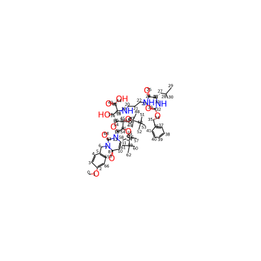 COc1ccc(Cn2c(=O)ccn([C@@H]3O[C@H](C(O)[C@H](NCCCNC(=O)[C@H](CC(C)C)NC(=O)OCc4ccccc4)C(=O)O)[C@@H](O[Si](C)(C)C(C)(C)C)[C@H]3O[Si](C)(C)C(C)(C)C)c2=O)cc1